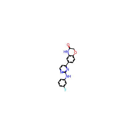 O=C1COc2ccc(-c3ccnc(Nc4cccc(F)c4)n3)cc2N1